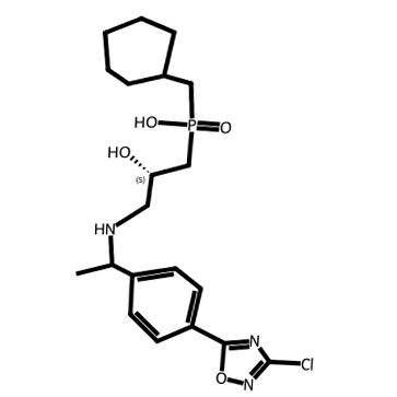 CC(NC[C@H](O)CP(=O)(O)CC1CCCCC1)c1ccc(-c2nc(Cl)no2)cc1